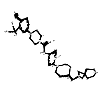 N#Cc1ccc(N2CCN(C(=O)Nc3ccc(N4CCC(CN5CC6(CCNCC6)C5)CC4)nc3)CC2)cc1C(F)(F)F